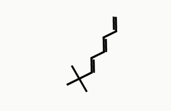 C=CC=CC=[C]C(C)(C)C